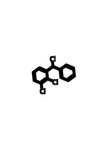 Clc1cccc(C(Cl)c2ccccc2)c1Cl